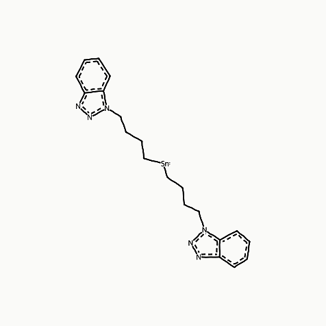 c1ccc2c(c1)nnn2CCC[CH2][Sn][CH2]CCCn1nnc2ccccc21